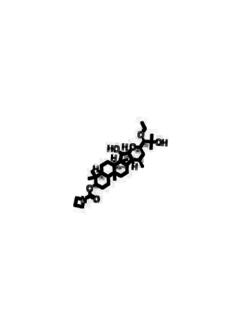 CCO[C@@H]([C@H]1C[C@@H](C)[C@H]2[C@H](O1)[C@H](O)[C@@]1(C)[C@@H]3CC[C@@H]4C(CC[C@H](OC(=O)N5CCC5)C4(C)C)C3(C)CC[C@]21C)C(C)(C)O